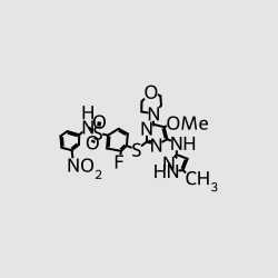 COc1c(Nc2cc(C)[nH]n2)nc(Sc2ccc(S(=O)(=O)Nc3cccc([N+](=O)[O-])c3)cc2F)nc1N1CCOCC1